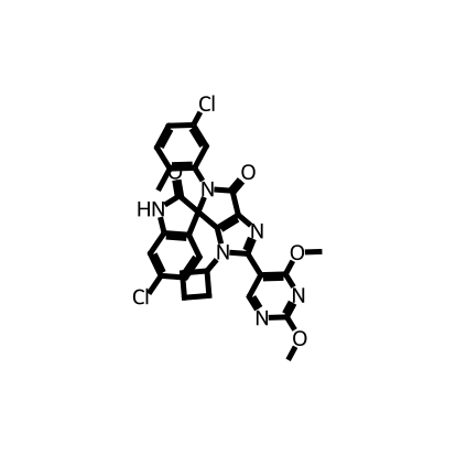 COc1ncc(-c2nc3c(n2C2CCC2)C2(C(=O)Nc4cc(Cl)ccc42)N(c2cc(Cl)ccc2C)C3=O)c(OC)n1